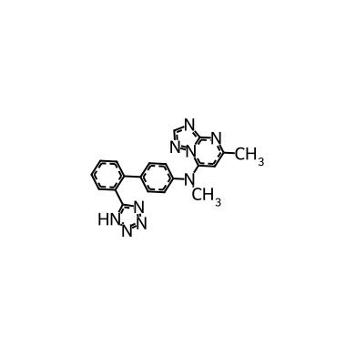 Cc1cc(N(C)c2ccc(-c3ccccc3-c3nnn[nH]3)cc2)n2ncnc2n1